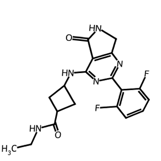 CCNC(=O)C1CC(Nc2nc(-c3c(F)cccc3F)nc3c2C(=O)NC3)C1